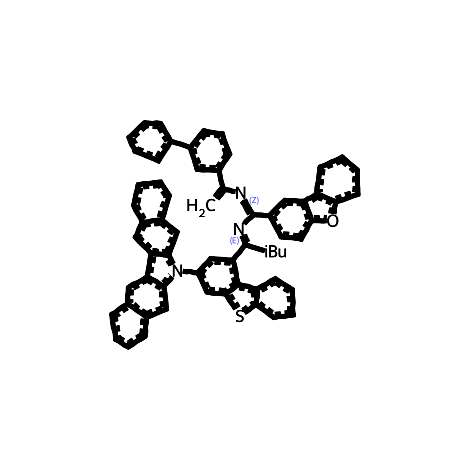 C=C(/N=C(\N=C(\c1cc(-n2c3cc4ccccc4cc3c3cc4ccccc4cc32)cc2sc3ccccc3c12)C(C)CC)c1ccc2oc3ccccc3c2c1)c1cccc(-c2ccccc2)c1